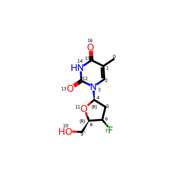 Cc1cn([C@H]2CC(F)[C@@H]([CH]O)O2)c(=O)[nH]c1=O